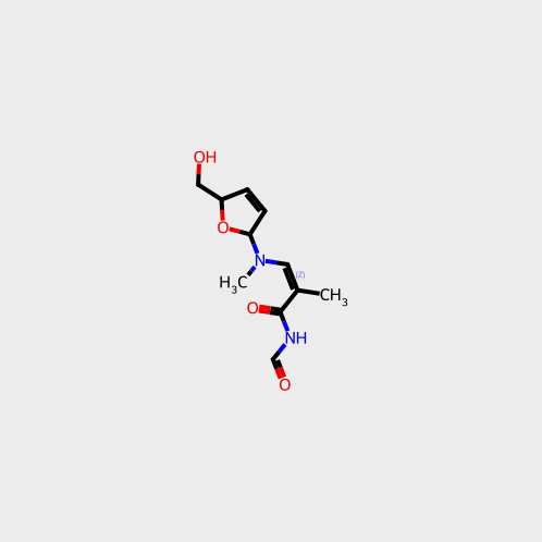 C/C(=C/N(C)C1C=CC(CO)O1)C(=O)NC=O